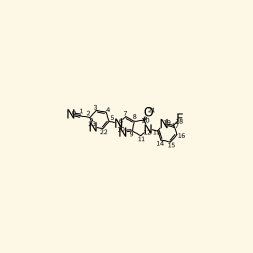 N#Cc1ccc(-n2cc3c(n2)CN(c2cccc(F)n2)C3=O)cn1